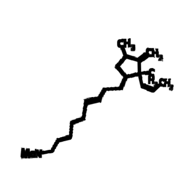 C=C1C(C)CC(CC/C=C/CC/C=C/CNC)[C@@]1(C)/C=C\C